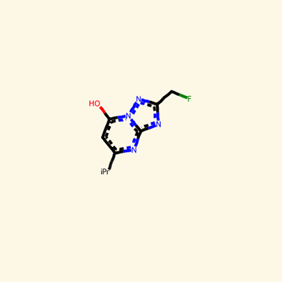 CC(C)c1cc(O)n2nc(CF)nc2n1